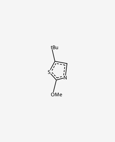 COc1ncc(C(C)(C)C)s1